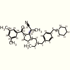 CCN(Cc1ccc(CN2CCCCC2)cc1)CN1CCN(C(=O)c2cc(C)cc(C)c2)/C1=C(/C)C#N